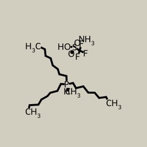 CCCCCCCC[PH](C)(CCCCCCCC)CCCCCCCC.N.O=S(=O)(O)C(F)(F)F